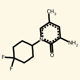 Cc1cc(N)c(=O)n(C2CCC(F)(F)CC2)c1